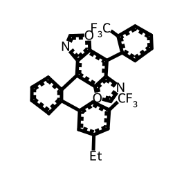 CCc1cc(-c2ccccc2-c2c3ncoc3c(-c3ccccc3C(F)(F)F)c3ncoc23)cc(C(F)(F)F)c1